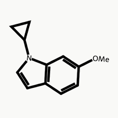 COc1ccc2ccn(C3CC3)c2c1